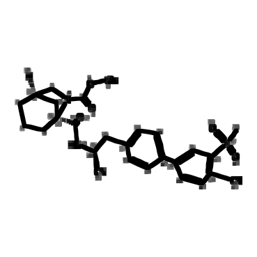 CC(C)(C)OC(=O)N1C[C@@H]2CCC[C@@]1(C(=O)N[C@H](C#N)Cc1ccc(-c3ccc(C#N)c(S(C)(=O)=O)c3)cc1)C2